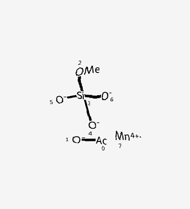 CC(=O)[O-].CO[Si]([O-])([O-])[O-].[Mn+4]